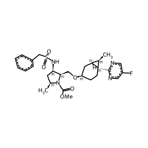 COC(=O)N1[C@H](CO[C@@H]2CC[C@]3(c4ncc(F)cn4)[C@H](C)[C@@H]3C2)[C@H](NS(=O)(=O)Cc2ccccc2)C[C@@H]1C